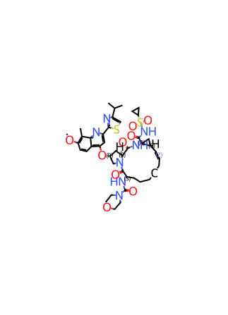 COc1ccc2c(O[C@@H]3C[C@H]4C(=O)N[C@]5(C(=O)NS(=O)(=O)C6CC6)C[C@H]5/C=C\CCCCC[C@H](NC(=O)N5CCOCC5)C(=O)N4C3)cc(-c3nc(C(C)C)cs3)nc2c1C